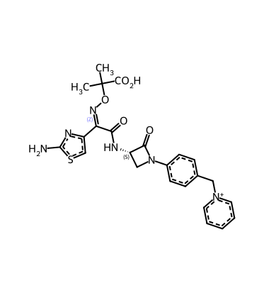 CC(C)(O/N=C(\C(=O)N[C@H]1CN(c2ccc(C[n+]3ccccc3)cc2)C1=O)c1csc(N)n1)C(=O)O